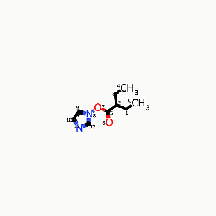 CCC(CC)C(=O)On1ccnc1